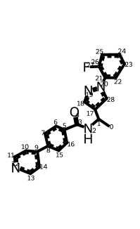 CC(NC(=O)c1ccc(-c2ccncc2)cc1)c1cnn(-c2ccccc2F)c1